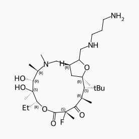 CC[C@H]1OC(=O)[C@@](C)(F)C(=O)[C@H](C)[C@@H](C(C)(C)C)[C@@]2(C)C[C@H](CN(C)[C@H](C)[C@@H](O)[C@]1(C)O)C(CNCCCN)O2